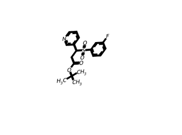 CC(C)(C)OC(=O)CC(c1cccnc1)S(=O)(=O)c1cccc(F)c1